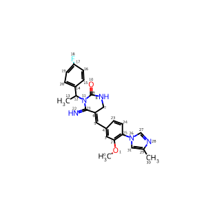 COc1cc(/C=C2\CNC(=O)N(C(C)c3ccc(F)cc3)C2=N)ccc1-n1cnc(C)c1